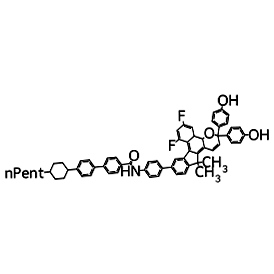 CCCCCC1CCC(c2ccc(-c3ccc(C(=O)Nc4ccc(-c5ccc6c(c5)C5=C7C(F)=CC(F)=CC7C7OC(c8ccc(O)cc8)(c8ccc(O)cc8)C=CC7=C5C6(C)C)cc4)cc3)cc2)CC1